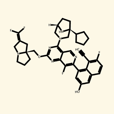 C#Cc1c(F)ccc2cc(O)cc(-c3ncc4c(N5C[C@@H]6CC[C@](C7CCCC7)(C5)N6)nc(OC[C@@]56CCCN5CC(=C(F)F)C6)nc4c3F)c12